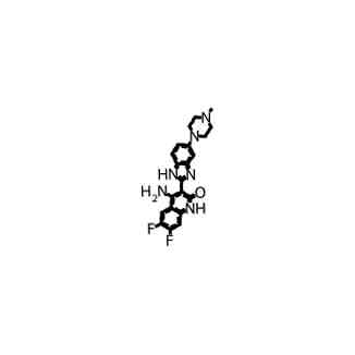 CN1CCN(c2ccc3[nH]c(-c4c(N)c5cc(F)c(F)cc5[nH]c4=O)nc3c2)CC1